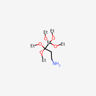 CCOC(CCN)(OCC)[Si](OCC)(OCC)OCC